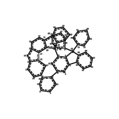 c1ccc(-c2nc3c(c(-n4c5ccccc5c5ccc6sc7ccccc7c6c54)n2)[Si](c2ccccc2)(c2ccccc2)c2ccccc2-3)cc1